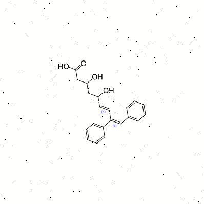 O=C(O)CC(O)CC(O)/C=C/C(=C\c1ccccc1)c1ccccc1